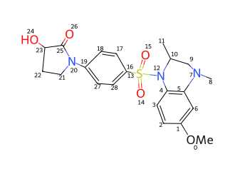 COc1ccc2c(c1)N(C)CC(C)N2S(=O)(=O)c1ccc(N2CCC(O)C2=O)cc1